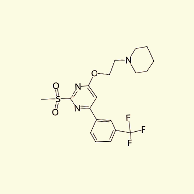 CS(=O)(=O)c1nc(OCCN2CCCCC2)cc(-c2cccc(C(F)(F)F)c2)n1